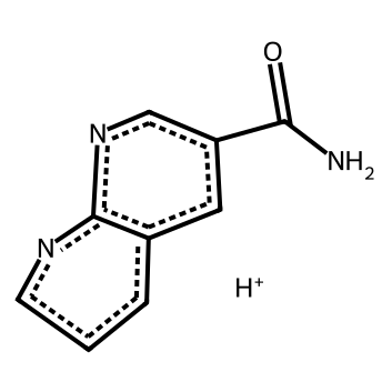 NC(=O)c1cnc2ncccc2c1.[H+]